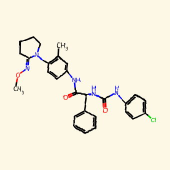 CON=C1CCCCN1c1ccc(NC(=O)[C@@H](NC(=O)Nc2ccc(Cl)cc2)c2ccccc2)cc1C